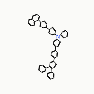 c1ccc(-c2ccc(-c3ccc(-c4ccc(N(c5ccccc5)c5ccc(-c6ccc(-c7cccc8ccccc78)cc6)cc5)cc4)cc3)cc2-c2ccccc2)cc1